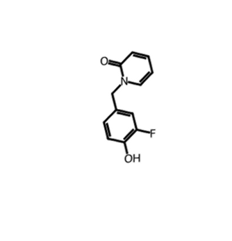 O=c1ccccn1Cc1ccc(O)c(F)c1